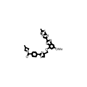 COc1cc(OCc2csc(-c3ccc(C(=O)N4CC(C)C4)cc3)n2)c2sc(-c3cn4nc(C)sc4n3)nc2c1